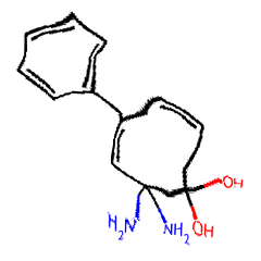 NC1(N)C=C(c2ccccc2)C=CC1(O)O